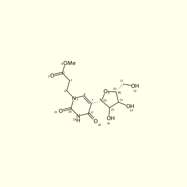 COC(=O)CCn1cc([C@@H]2O[C@H](CO)C(O)C2O)c(=O)[nH]c1=O